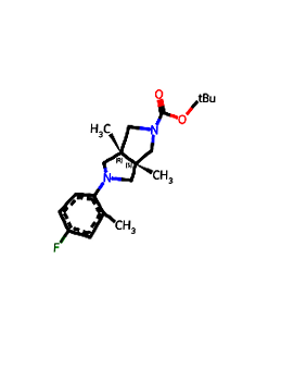 Cc1cc(F)ccc1N1C[C@]2(C)CN(C(=O)OC(C)(C)C)C[C@]2(C)C1